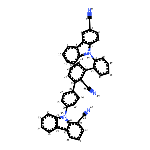 N#Cc1ccc2c(c1)c1ccccc1n2-c1ccccc1-c1cccc(-c2ccc(-n3c4ccccc4c4cccc(C#N)c43)cc2)c1C#N